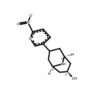 O=[N+]([O-])c1ccc(C2C[C@@H]3C[C@H](O)C[C@H](C2)N3)cn1